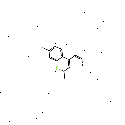 C/C=C\C(=C\C(C)F)c1ccc(C)cc1